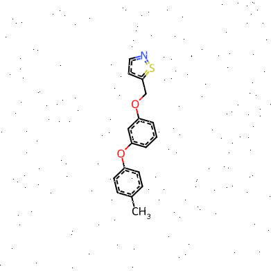 Cc1ccc(Oc2cccc(OCc3ccns3)c2)cc1